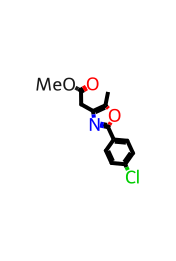 COC(=O)Cc1nc(-c2ccc(Cl)cc2)oc1C